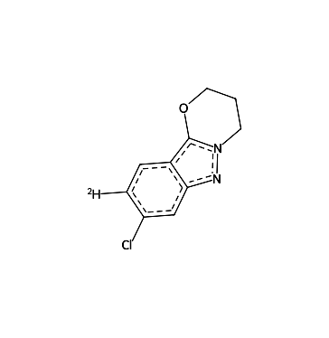 [2H]c1cc2c3n(nc2cc1Cl)CCCO3